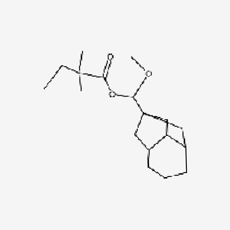 CCC(C)(C)C(=O)OC(OC)C12CC3CCCC(C1)C3C2